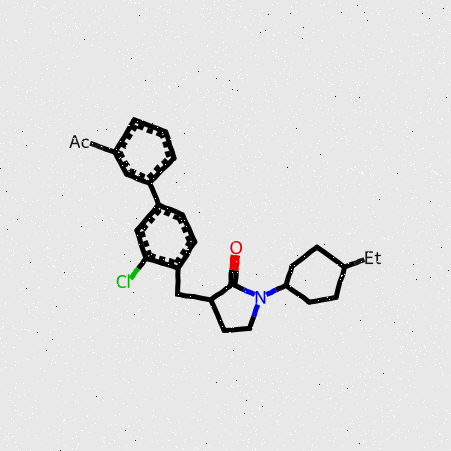 CCC1CCC(N2CCC(Cc3ccc(-c4cccc(C(C)=O)c4)cc3Cl)C2=O)CC1